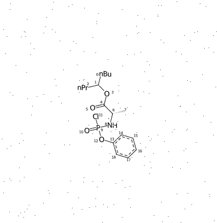 CCCCC(CCC)OC(=O)[C@H](C)NP(=O)(Cl)Oc1ccccc1